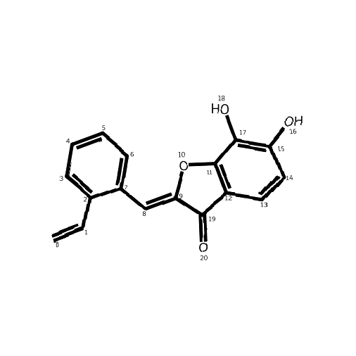 C=Cc1ccccc1C=C1Oc2c(ccc(O)c2O)C1=O